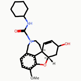 COc1ccc2c3c1O[C@H]1CC(O)C=C[C@@]31CCN(C(=O)NC1CCCCC1)C2